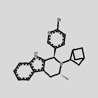 C[C@@H]1Cc2c([nH]c3ccccc23)[C@@H](c2ccc(Br)nc2)N1C1CC2CC1C2